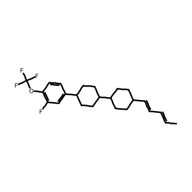 C/C=C/C=C/C1CCC(C2CCC(c3ccc(OC(F)(F)F)c(F)c3)CC2)CC1